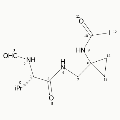 CC(C)[C@H](NC=O)C(=O)NCC1(NC(=O)I)CC1